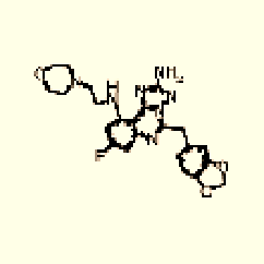 Nc1nc2c3c(NCCN4CCOCC4)cc(F)cc3nc(Cc3ccc4c(c3)OCO4)n2n1